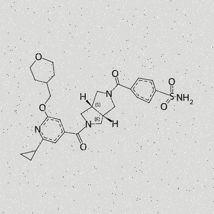 NS(=O)(=O)c1ccc(C(=O)N2C[C@@H]3CN(C(=O)c4cc(OCC5CCOCC5)nc(C5CC5)c4)C[C@@H]3C2)cc1